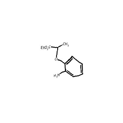 CCOC(=O)C(C)Oc1ccccc1N